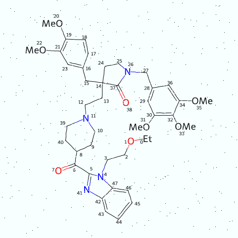 CCOCCn1c(C(=O)C2CCN(CCC3(Cc4ccc(OC)c(OC)c4)CCN(Cc4cc(OC)c(OC)c(OC)c4)C3=O)CC2)nc2ccccc21